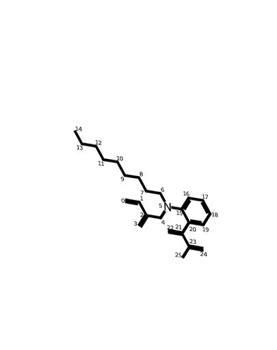 C=CC(=C)CN(CCCCCCCCC)c1ccccc1C(=C)C(=C)C